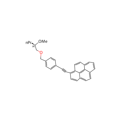 CCC[C@H](COCc1ccc(C#Cc2ccc3ccc4cccc5ccc2c3c45)cc1)OC